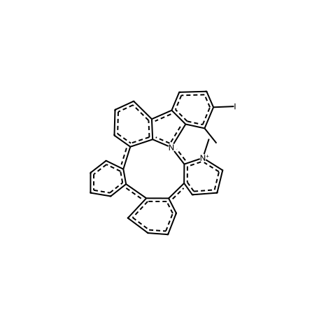 Cc1c(I)ccc2c3cccc4c5ccccc5c5ccccc5c5ccc[n+](C)c5n(c12)c43